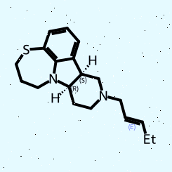 CC/C=C/CN1CC[C@@H]2[C@H](C1)c1cccc3c1N2CCCS3